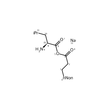 CCCCCCCCCCCC(=O)OC(=O)[C@@H](N)CC(C)C.[Na]